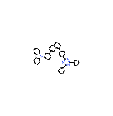 C1=Cc2c(n(-c3cccc(-c4ccc5cccc(-c6ccc(-c7nc(-c8ccccc8)nc(-c8ccccc8)n7)cc6)c5c4)c3)c3ccccc23)CC1